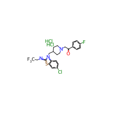 Cl.Cl.O=C(CN1CCC(Cn2/c(=N/CC(F)(F)F)sc3cc(Cl)ccc32)CC1)c1ccc(F)cc1